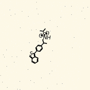 CC(CNS(=O)(=O)C(C)C)c1ccc(-c2scc3ccccc23)cc1